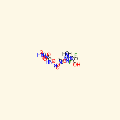 C#Cc1c(F)ccc2cc(O)cc(-c3ncc4c(N5C[C@H]6CC[C@@H](C5)N6)nc(OC[C@@]56CC[C@@H](COC(=O)N(C)CCC(=O)Nc7ccc8c(c7)C(=O)N(C7CCC(=O)NC7=O)C8=O)N5CC(=C)C6)nc4c3F)c12